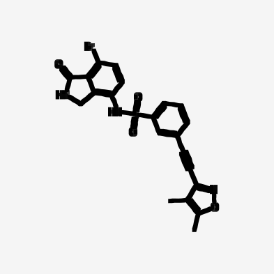 Cc1onc(C#Cc2cccc(S(=O)(=O)Nc3ccc(Br)c4c3CNC4=O)c2)c1C